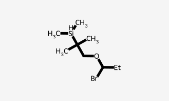 CCC(Br)OCC(C)(C)[SiH](C)C